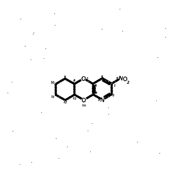 O=[N+]([O-])c1cnc2c(c1)OC1CCCCC1O2